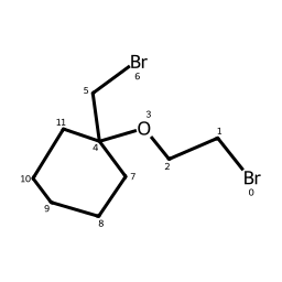 BrCCOC1(CBr)CCCCC1